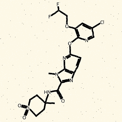 Cn1c(C(=O)NC2(C)CCS(=O)(=O)CC2)nc2ccc(Oc3ncc(Cl)cc3OCC(F)F)nc21